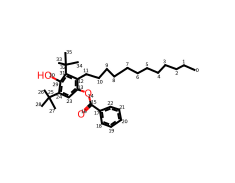 CCCCCCCCCCCCc1c(OC(=O)c2ccccc2)cc(C(C)(C)C)c(O)c1C(C)(C)C